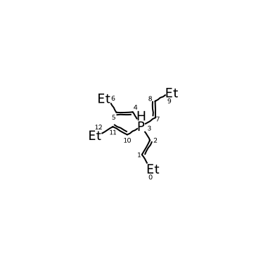 CCC=C[PH](C=CCC)(C=CCC)C=CCC